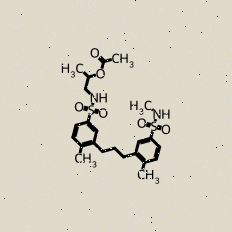 CNS(=O)(=O)c1ccc(C)c(CCCc2cc(S(=O)(=O)NCC(C)OC(C)=O)ccc2C)c1